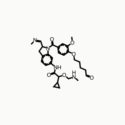 C/N=C\C1Cc2ccc(NC(=O)C(OCNC)C3CC3)cc2N1C(=O)c1ccc(OCCCCC=O)c(OC)c1